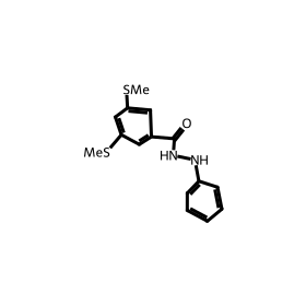 CSc1cc(SC)cc(C(=O)NNc2ccccc2)c1